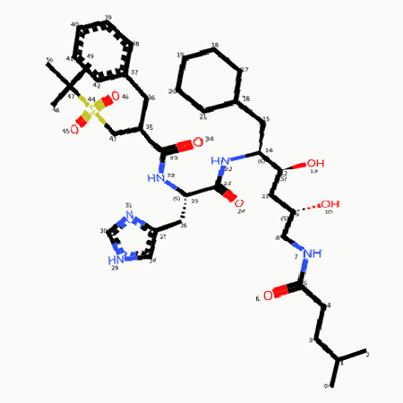 CC(C)CCC(=O)NC[C@@H](O)C[C@H](O)[C@H](CC1CCCCC1)NC(=O)[C@H](Cc1c[nH]cn1)NC(=O)C(Cc1ccccc1)CS(=O)(=O)C(C)(C)C